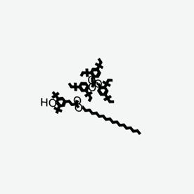 CCC(C)(C)c1ccc(OP(Oc2ccc(C(C)(C)CC)cc2C(C)(C)CC)Oc2ccc(C(C)(C)CC)cc2C(C)(C)CC)c(C(C)(C)CC)c1.CCCCCCCCCCCCCCCCCCOC(=O)CCc1cc(C(C)(C)C)c(O)c(C(C)(C)C)c1